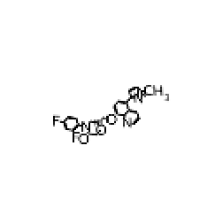 Cn1ccc(-c2ccc(OC[C@@H]3CN(c4ccc(F)cc4F)C(=O)CO3)c3ncccc23)n1